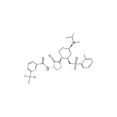 Cc1ccccc1S(=O)(=O)C[C@@H]1C[C@H](N(C)C(C)C)CC[C@@H]1N1CC[C@H](NC(=O)c2cccc(C(F)(F)F)c2)C1=O